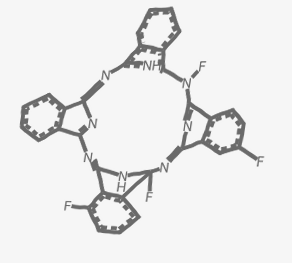 Fc1ccc2c(c1)C1=NC3(F)NC(=NC4=NC(=Nc5[nH]c(c6ccccc56)N(F)C2=N1)c1ccccc14)c1c(F)cccc13